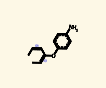 C/C=C\C(=C/C)Oc1ccc(N)cc1